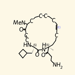 CNC1CCCCCC/C=C/CCC[C@@](C)(C(=O)CCN)NC(=O)[C@H](CC2CCC2)NCCC1=O